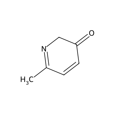 CC1=NCC(=O)C=C1